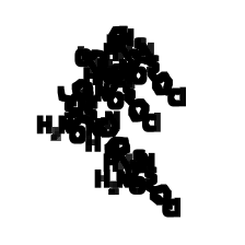 CCC(Sc1nsc(Nc2cccnc2)c1C(N)=O)c1ccccc1.COc1cccc(Nc2snc(SCc3ccc(Cl)cc3)c2C(N)=O)n1.NC(=O)c1c(SCc2ccc(Cl)cc2)nsc1Nc1ccccn1.NC(=O)c1c(SCc2ccc(Cl)cc2)nsc1Nc1ncccn1